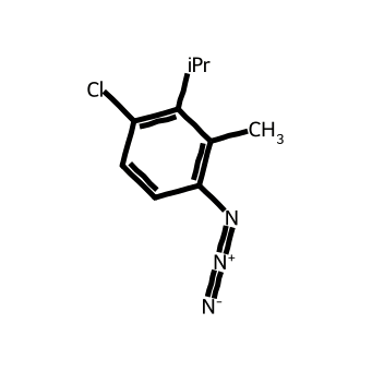 Cc1c(N=[N+]=[N-])ccc(Cl)c1C(C)C